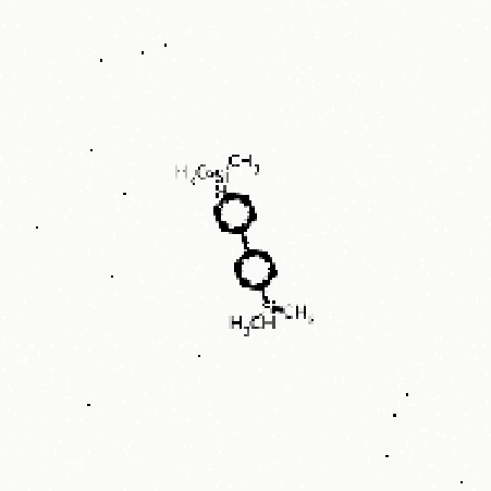 C[SiH](C)c1ccc(-c2ccc([SiH](C)C)cc2)cc1